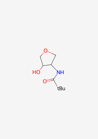 CC(C)(C)C(=O)NC1COCC1O